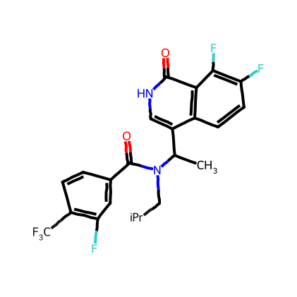 CC(C)CN(C(=O)c1ccc(C(F)(F)F)c(F)c1)C(C)c1c[nH]c(=O)c2c(F)c(F)ccc12